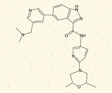 CC1CN(c2ccc(NC(=O)c3n[nH]c4ccc(-c5cncc(CN(C)C)c5)cc34)cn2)CC(C)O1